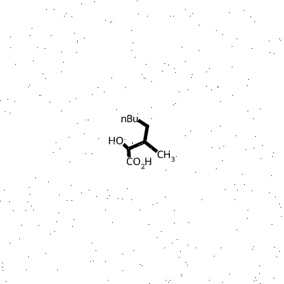 CCCCCC(C)C(O)C(=O)O